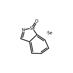 O=[Se]1N=Cc2ccccc21.[Se]